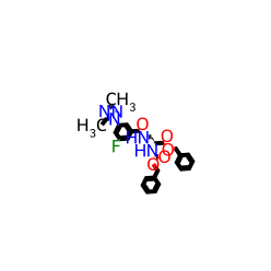 Cc1nc(C)n(-c2cc(F)cc(C(=O)NC[C@@H](NC(=O)OCc3ccccc3)C(=O)OCc3ccccc3)c2)n1